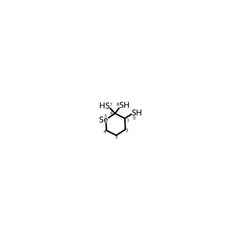 SC1CCC[Se]C1(S)S